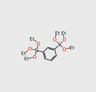 CCO[Si](OCC)(OCC)c1cccc([Si](OCC)(OCC)OCC)c1